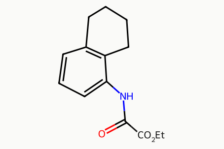 CCOC(=O)C(=O)Nc1cccc2c1CCCC2